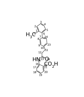 Cc1ccccc1-c1ccc(CCC(=O)Nc2ccccc2C(=O)O)cc1